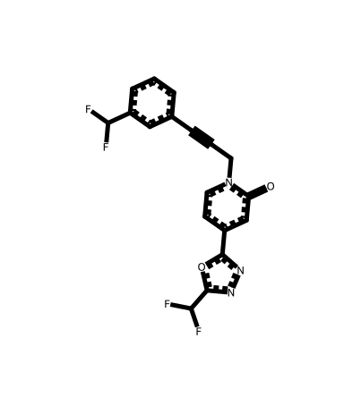 O=c1cc(-c2nnc(C(F)F)o2)ccn1CC#Cc1cccc(C(F)F)c1